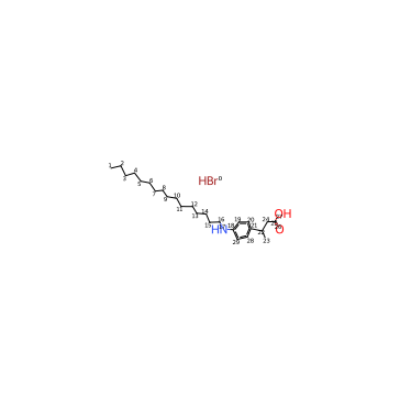 Br.CCCCCCCCCCCCCCCCNc1ccc(C(C)CC(=O)O)cc1